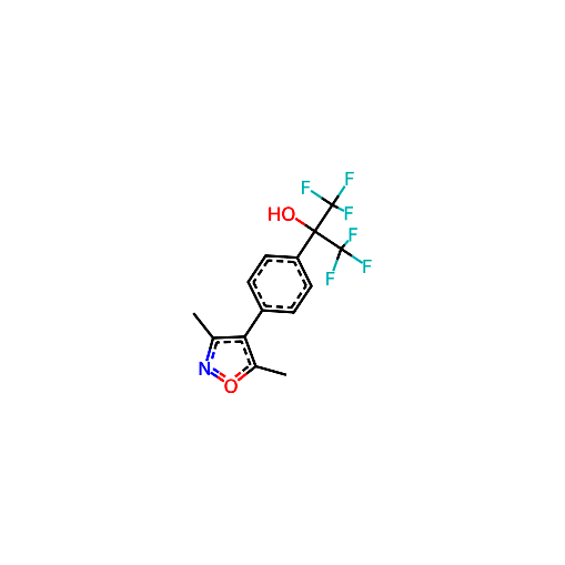 Cc1noc(C)c1-c1ccc(C(O)(C(F)(F)F)C(F)(F)F)cc1